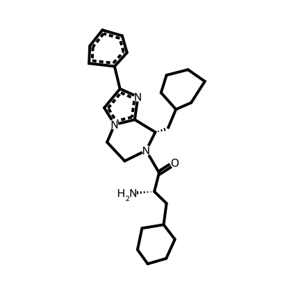 N[C@@H](CC1CCCCC1)C(=O)N1CCn2cc(-c3ccccc3)nc2[C@@H]1CC1CCCCC1